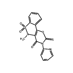 CN1c2c(oc(=S)n(-c3ccccn3)c2=O)-c2ccccc2S1(=O)=O